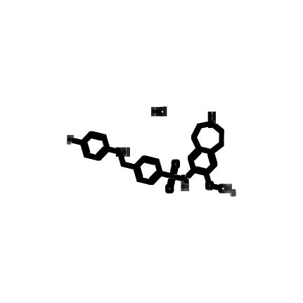 COc1cc2c(cc1NS(=O)(=O)c1ccc(CNc3ccc(F)cc3)cc1)CCNCC2.Cl